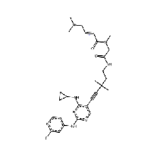 CN(C)C/C=C/C(=O)N(C)CC(=O)NCCC(C)(C)C#Cc1cnc(Nc2ccnc(F)c2)nc1NC1CC1